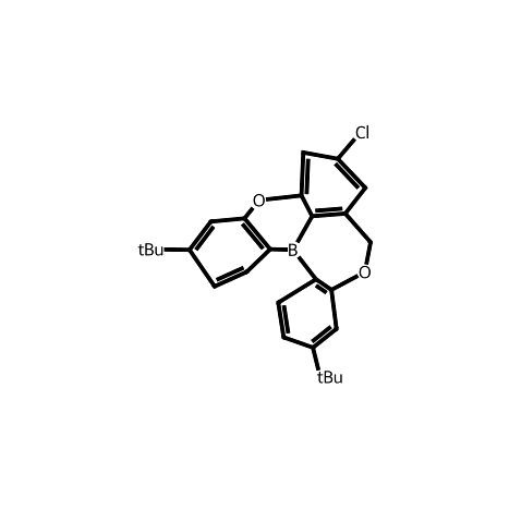 CC(C)(C)c1ccc2c(c1)OCc1cc(Cl)cc3c1B2c1ccc(C(C)(C)C)cc1O3